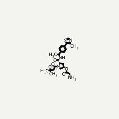 Cc1ncsc1-c1ccc([C@H](C)NC(=O)[C@@H]2C[C@@H](OC(=O)CN)CN2C(=O)CC(C)(C)C)cc1